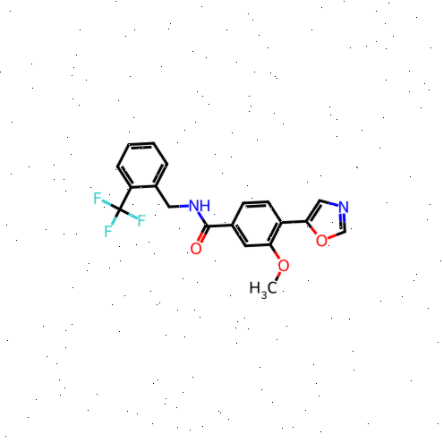 COc1cc(C(=O)NCc2ccccc2C(F)(F)F)ccc1-c1cnco1